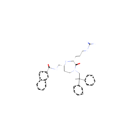 CC(CN1CC[C@@H](CNC(=O)c2ccc3ccccc3c2)N[C@@H](CCCNC(=N)N)C1=O)(c1ccccc1)c1ccccc1